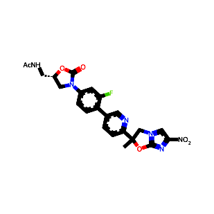 CC(=O)NC[C@H]1CN(c2ccc(-c3ccc(C4(C)Cn5cc([N+](=O)[O-])nc5O4)nc3)c(F)c2)C(=O)O1